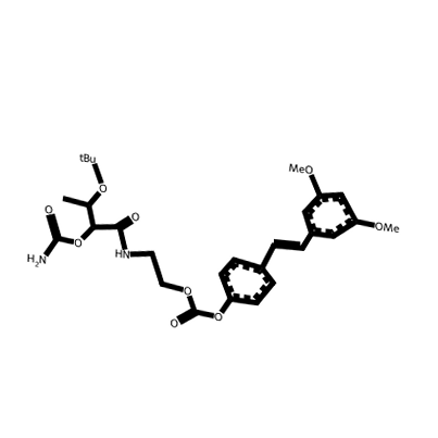 COc1cc(C=Cc2ccc(OC(=O)OCCNC(=O)C(OC(N)=O)C(C)OC(C)(C)C)cc2)cc(OC)c1